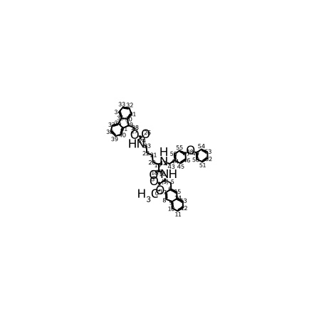 COC(=O)[C@H](Cc1ccc2ccccc2c1)NC(=O)C(CCCCNC(=O)OCC1c2ccccc2-c2ccccc21)NCc1ccc(Oc2ccccc2)cc1